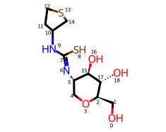 OC[C@H]1OC[C@H](/N=C(\S)NC2CCSC2)[C@@H](O)[C@@H]1O